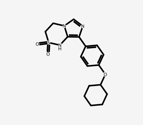 O=S1(=O)CCn2cnc(-c3ccc(OC4CCCCC4)cc3)c2N1